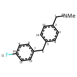 CNCc1ccc(Cc2ccc(F)cc2)cc1